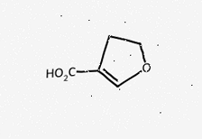 O=C(O)C1=COCC1